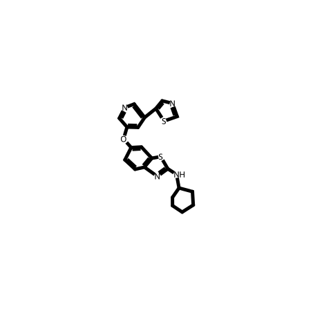 c1ncc(-c2cncc(Oc3ccc4nc(NC5CCCCC5)sc4c3)c2)s1